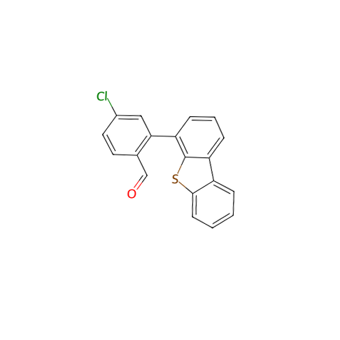 O=Cc1ccc(Cl)cc1-c1cccc2c1sc1ccccc12